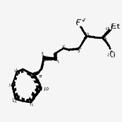 CCC(Cl)C(F)[CH]CCCc1ccccc1